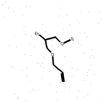 C=CCOCC(CC)C[O][Ti]